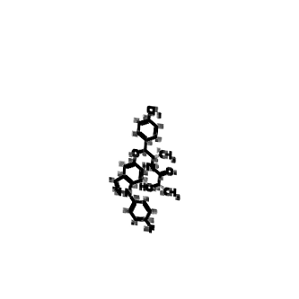 C[C@H](O)C(=O)N[C@@H](C)[C@@H](Oc1ccc2c(cnn2-c2ccc(F)cc2)c1)c1ccc(C(F)(F)F)cc1